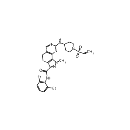 C=CS(=O)(=O)N1CCC(Nc2ncc3c(n2)-c2c(c(C(=O)Nc4c(CC)cccc4CC)nn2C)CC3)CC1